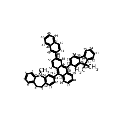 CN1c2ccccc2CCc2ccc(-c3c4ccccc4c(-c4ccc5c(c4)C(C)(C)c4ccccc4-5)c4cc(-c5ccc6ccccc6c5)ccc34)cc21